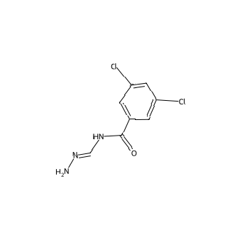 NN=CNC(=O)c1cc(Cl)cc(Cl)c1